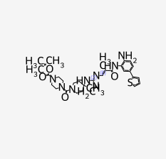 C=N/C(=N\C=C(/C)C(=O)Nc1cc(-c2cccs2)ccc1N)NC1(C)CCN(C(=O)N2CCN(C(=O)OC(C)(C)C)CC2)CC1